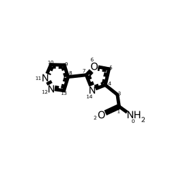 NC(=O)Cc1coc(-c2ccnnc2)n1